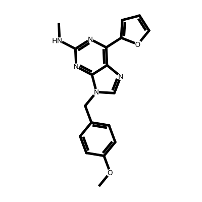 CNc1nc(-c2ccco2)c2ncn(Cc3ccc(OC)cc3)c2n1